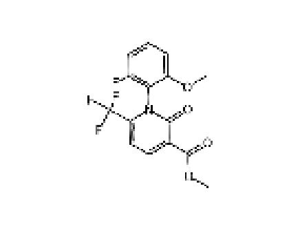 COC(=O)c1ccc(C(F)(F)F)n(-c2c(F)cccc2OC)c1=O